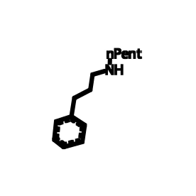 CCCCCNCCCc1ccccc1